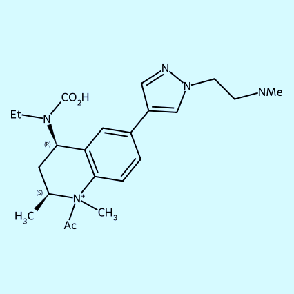 CCN(C(=O)O)[C@@H]1C[C@H](C)[N+](C)(C(C)=O)c2ccc(-c3cnn(CCNC)c3)cc21